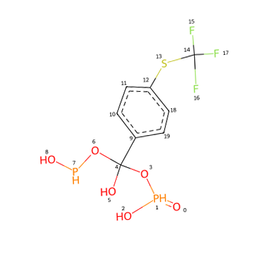 O=[PH](O)OC(O)(OPO)c1ccc(SC(F)(F)F)cc1